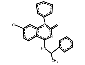 CC(Nc1nc(=O)n(-c2ccccc2)c2cc(Cl)ccc12)c1ccccc1